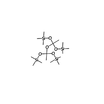 CC(OC(C)(O[Si](C)(C)C)O[Si](C)(C)C)(O[Si](C)(C)C)O[Si](C)(C)C